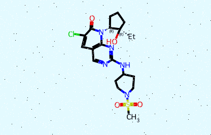 CC[C@@]1(O)CCC[C@H]1n1c(=O)c(Cl)cc2cnc(NC3CCN(S(C)(=O)=O)CC3)nc21